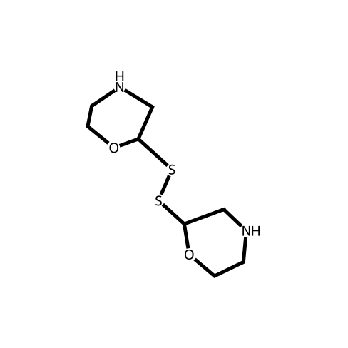 C1COC(SSC2CNCCO2)CN1